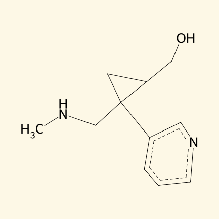 CNCC1(c2cccnc2)CC1CO